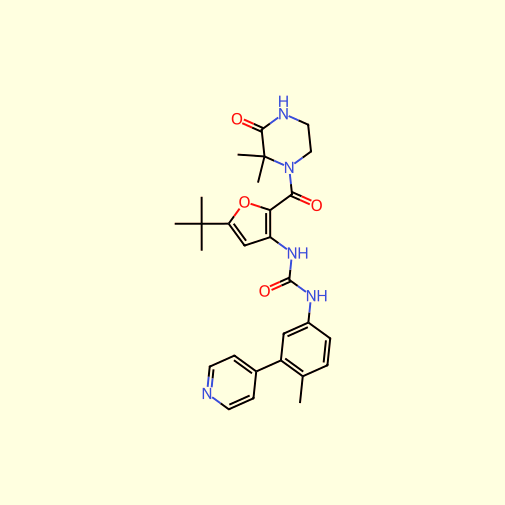 Cc1ccc(NC(=O)Nc2cc(C(C)(C)C)oc2C(=O)N2CCNC(=O)C2(C)C)cc1-c1ccncc1